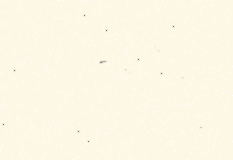 COc1ccc(CN2C(c3ccc(Br)c(OC)n3)=NOC[C@@H]2c2cc3ccc(C)cc3o2)cc1